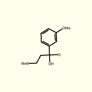 CCC(O)(CCNC)c1cccc(OC)c1